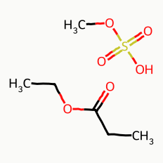 CCOC(=O)CC.COS(=O)(=O)O